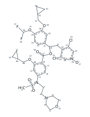 CS(=O)(=O)N(CCN1CCOCC1)c1ccc(C(=O)OC(Cc2c(Cl)c[n+]([O-])cc2Cl)c2ccc(OC(F)F)c(OCC3CC3)c2)c(OCC2CC2)c1